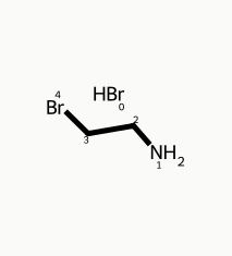 Br.NCCBr